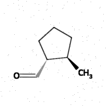 C[C@@H]1CCC[C@H]1C=O